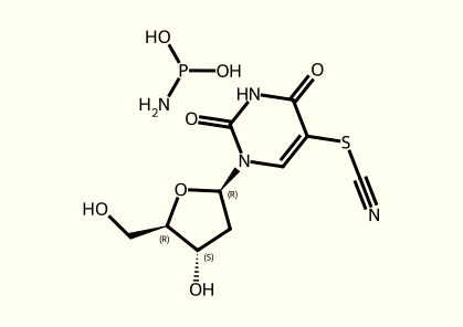 N#CSc1cn([C@H]2C[C@H](O)[C@@H](CO)O2)c(=O)[nH]c1=O.NP(O)O